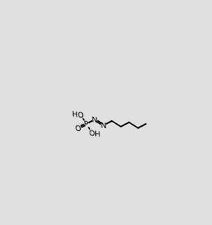 CCCCC/N=N/P(=O)(O)O